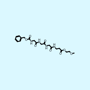 COCCOC(=O)CCNC(=O)CNC(=O)CNC(=O)CNC(=O)OCc1ccccc1